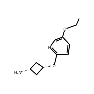 CCOc1ccc(O[C@H]2C[C@@H](N)C2)nc1